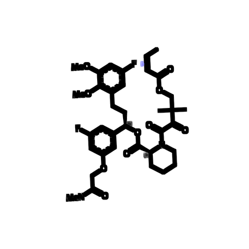 C/C=C\C(=O)OCC(C)(C)C(=O)C(=O)N1CCCC[C@H]1C(=O)O[C@H](CCc1cc(F)cc(OC)c1OC)c1cc(F)cc(OCC(=O)NC)c1